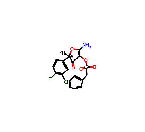 [2H][C@@]1(c2ccc(F)c(Cl)c2)OC(N)=C(OS(=O)(=O)Cc2ccccc2)C1=O